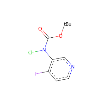 CC(C)(C)OC(=O)N(Cl)c1cnccc1I